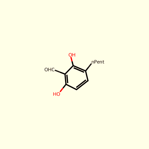 CCCCCc1ccc(O)c(C=O)c1O